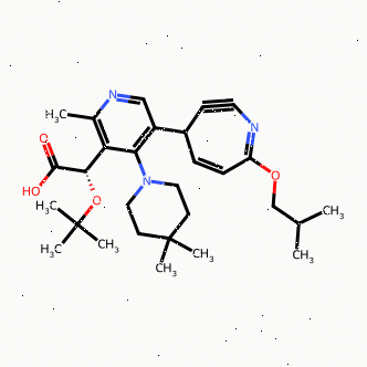 Cc1ncc(C2C#CN=C(OCC(C)C)C=C2)c(N2CCC(C)(C)CC2)c1[C@H](OC(C)(C)C)C(=O)O